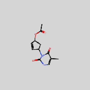 CC(=O)OC1C=CC(N2C(=O)[N]C=C(C)C2=O)C1